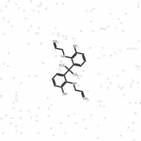 C=CCNc1c(O)cccc1C(C)(C)c1cccc(O)c1NCC=C